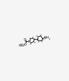 CC(C)(C)OC(=O)N1CCC(C2CCC(N)CC2)CC1